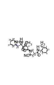 Cc1ccccc1NC(=O)C1CC(C#N)N(C(=O)CN(C)C(=O)C(=N)/C=C2/C=CC=CN2)C1